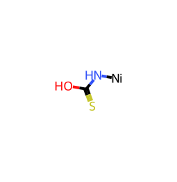 OC(=S)[NH][Ni]